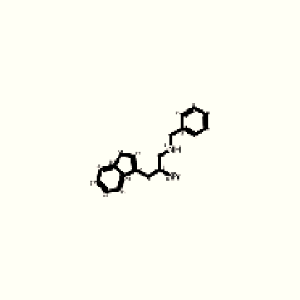 CC(C)C(CNCc1ccccc1)CC1=CCc2ccccc21